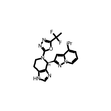 CC(C)c1cccn2nc([C@H]3c4nc[nH]c4CCN3c3nnc(C(C)(F)F)o3)cc12